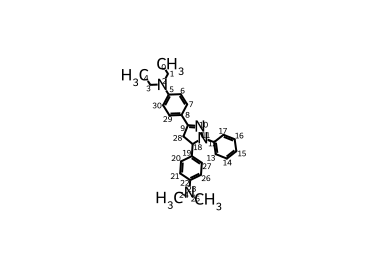 CCN(CC)c1ccc(C2=NN(c3ccccc3)C(c3ccc(N(C)C)cc3)C2)cc1